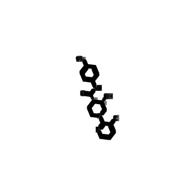 CC(C)(C)c1ccc(NC(=O)[C@H]2CCN(c3ncccc3Cl)C[C@H]2O)cc1